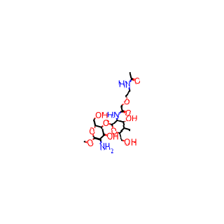 COC1OC(CO)C(OC2OC(CO)C(C)C(O)C2NC(=O)COCCNC(C)=O)C(O)C1N